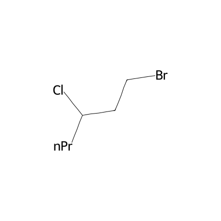 CCCC(Cl)CCBr